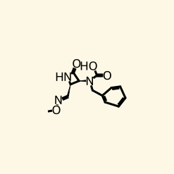 CON=C[C@H]1NC(=O)[C@H]1N(Cc1ccccc1)C(=O)O